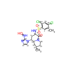 Cc1cc(S(=O)(=O)NC(CCn2ccnc2NO)C(=O)N2CCC(C)CC2)c(Cl)cc1Cl